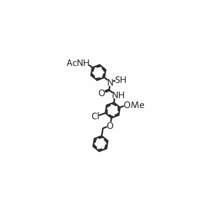 COc1cc(OCc2ccccc2)c(Cl)cc1NC(=O)N(S)c1ccc(NC(C)=O)cc1